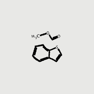 COC=O.c1ccc2sccc2c1